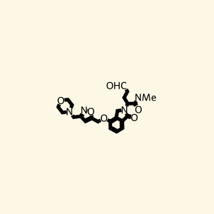 CNC(=O)C(CCC=O)N1Cc2c(OCc3cc(CN4CCOCC4)no3)cccc2C1=O